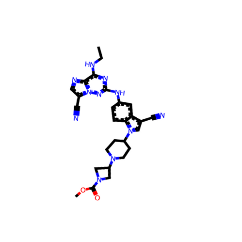 CCNc1nc(Nc2ccc3c(c2)c(C#N)cn3C2CCN(C3CN(C(=O)OC)C3)CC2)nn2c(C#N)cnc12